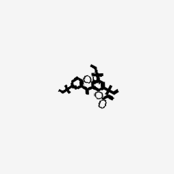 C=CC(=O)Oc1c(C(C)c2cc(C(C)(C)CC)ccc2O)cc(C(C)(C)CC)cc1C(C)(C)CC